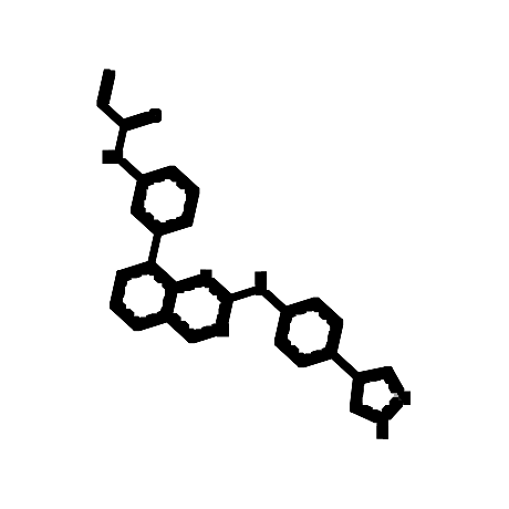 C=CC(=O)Nc1cccc(-c2cccc3cnc(Nc4ccc(-c5cn[nH]c5)cc4)nc23)c1